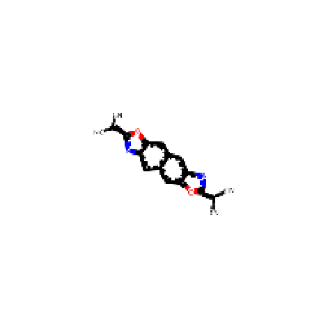 N#CC(C#N)=c1nc2cc3cc4oc(=C(C#N)C#N)nc4cc3cc2o1